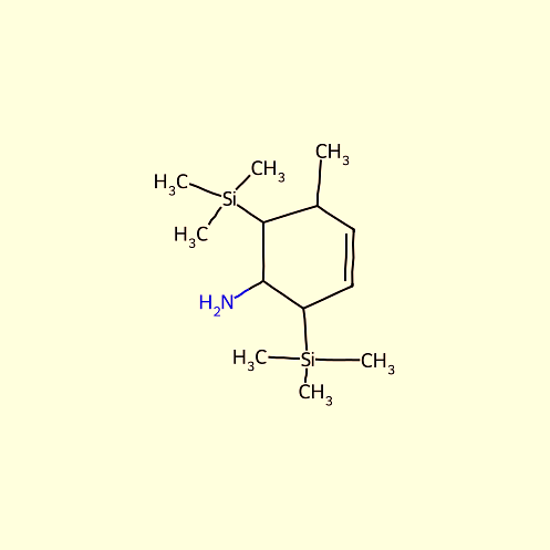 CC1C=CC([Si](C)(C)C)C(N)C1[Si](C)(C)C